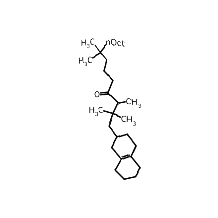 CCCCCCCCC(C)(C)CCCC(=O)C(C)C(C)(C)CC1CCC2=C(CCCC2)C1